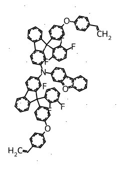 C=Cc1ccc(Oc2ccc(C3(c4c(F)ccc(F)c4F)c4ccccc4-c4ccc(N(c5ccc6c(c5)C(c5ccc(Oc7ccc(C=C)cc7)cc5)(c5c(F)ccc(F)c5F)c5ccccc5-6)c5ccc6c(c5)oc5ccccc56)cc43)cc2)cc1